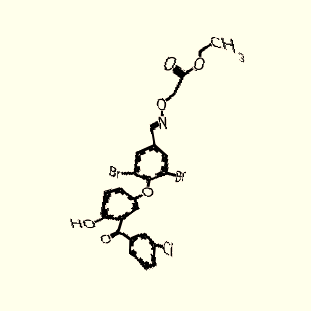 CCOC(=O)CON=Cc1cc(Br)c(Oc2ccc(O)c(C(=O)c3cccc(Cl)c3)c2)c(Br)c1